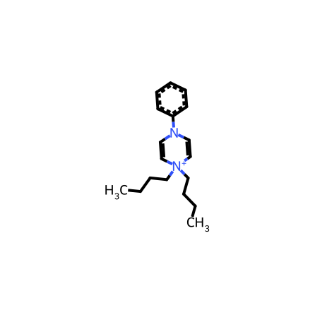 CCCC[N+]1(CCCC)C=CN(c2ccccc2)C=C1